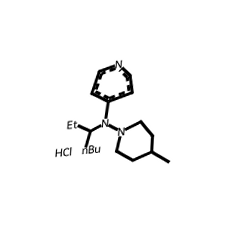 CCCCC(CC)N(c1ccncc1)N1CCC(C)CC1.Cl